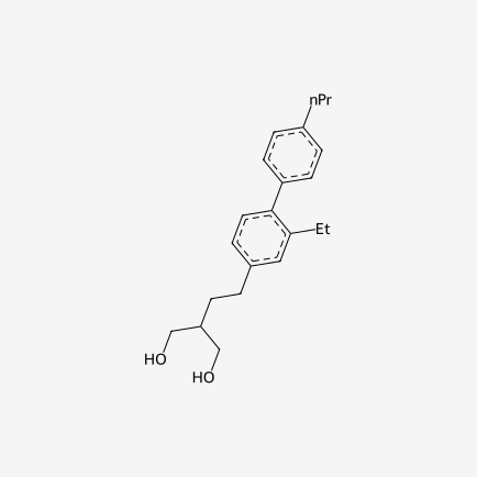 CCCc1ccc(-c2ccc(CCC(CO)CO)cc2CC)cc1